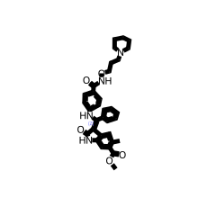 COC(=O)c1cc2c(cc1C)/C(=C(/Nc1ccc(C(=O)NOCCCN3CCCCC3)cc1)c1ccccc1)C(=O)N2